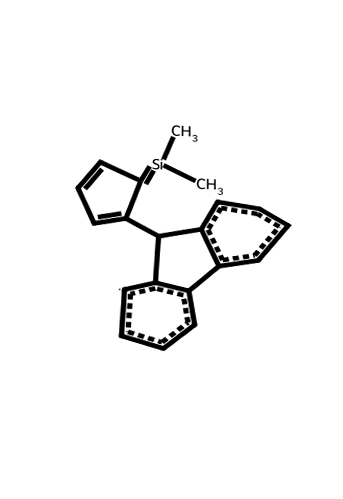 C[Si](C)=C1C=CC=C1C1c2[c]cccc2-c2ccccc21